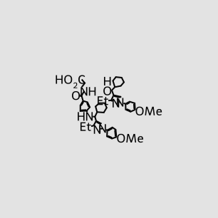 CCc1nn(-c2ccc(OC)cc2)cc1C(Nc1ccc(C(=O)NCCC(=O)O)cc1)C1CCCCC1.CCc1nn(-c2ccc(OC)cc2)cc1C(O)C1CCCCC1